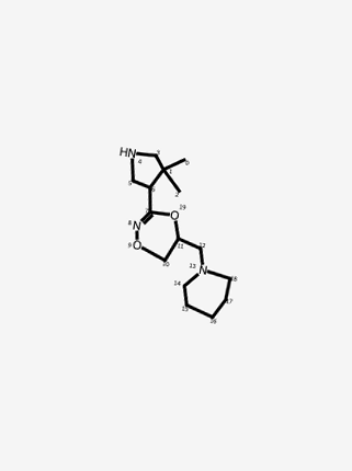 CC1(C)CNCC1C1=NOCC(CN2CCCCC2)O1